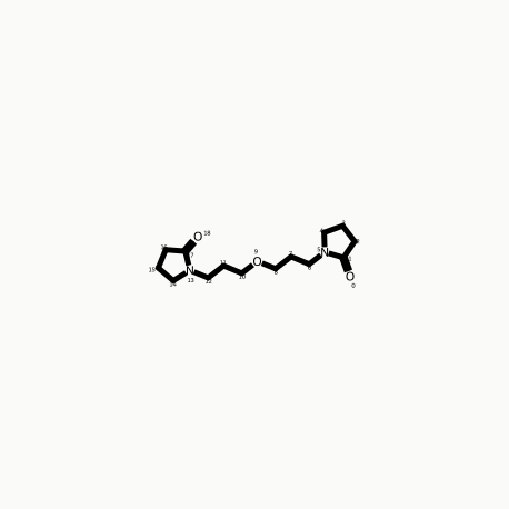 O=C1CCCN1CCCOCCCN1CCCC1=O